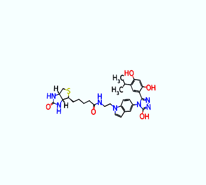 CC(C)c1cc(-c2nnc(O)n2-c2ccc3c(ccn3CCNC(=O)CCCC[C@@H]3SC[C@H]4NC(=O)N[C@@H]34)c2)c(O)cc1O